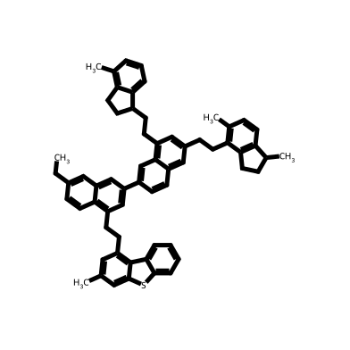 CCc1ccc2c(CCc3cc(C)cc4sc5ccccc5c34)cc(-c3ccc4cc(CCc5c(C)ccc6c5CCC6C)cc(CCC5CCc6c(C)cccc65)c4c3)cc2c1